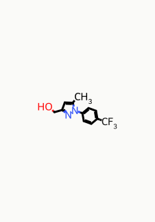 Cc1cc(CO)nn1-c1ccc(C(F)(F)F)cc1